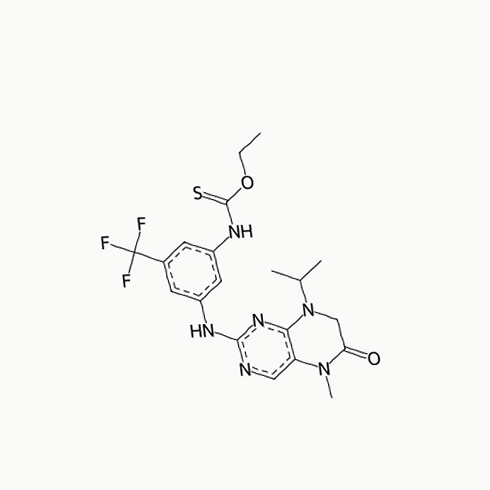 CCOC(=S)Nc1cc(Nc2ncc3c(n2)N(C(C)C)CC(=O)N3C)cc(C(F)(F)F)c1